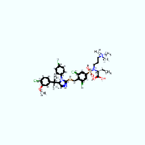 CC[C@H](C(=O)O)N(CCC[N+](C)(C)C)S(=O)(=O)c1cc(F)c(CSc2ncc(C(C)(C)c3ccc(Cl)c(OC)c3)n2-c2ccc(F)cc2)c(Cl)c1